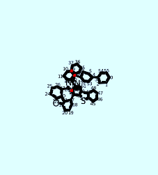 c1ccc(-c2ccc(-c3ccccc3-c3cc(-c4cccc5oc6cccc(-c7ncnc(-c8ccccc8)n7)c6c45)c4sc5ccccc5c4c3)cc2)cc1